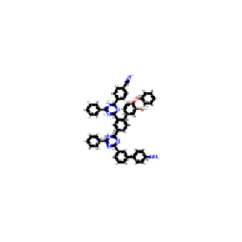 N#Cc1ccc(-c2nc(-c3ccccc3)nc(-c3cc(-c4nc(-c5ccccc5)nc(-c5cccc(-c6ccc(N)cc6)c5)n4)ccc3-c3ccc4c(c3)Sc3ccccc3O4)n2)cc1